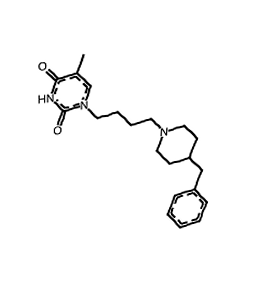 Cc1cn(CCCCN2CCC(Cc3ccccc3)CC2)c(=O)[nH]c1=O